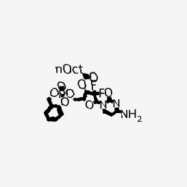 CCCCCCCCC(=O)O[C@@H]1C(COP2(=O)OCc3ccccc3O2)OC(n2ccc(N)nc2=O)C1(F)F